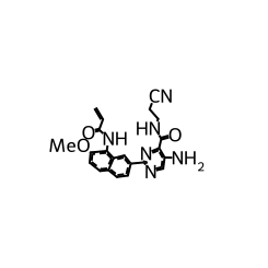 C=CC(=O)Nc1c(OC)ccc2ccc(-c3ncc(N)c(C(=O)NCCC#N)n3)cc12